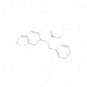 O=C(CCl)N(Cc1ccccc1)c1ccc2c(c1)OCO2